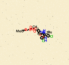 COCCOCCOC(=O)OC(C)OC(=O)c1ccc(NC(=O)[C@@H]2N[C@@H](CC(C)(C)C)[C@@]3(C(=O)Nc4cc(Cl)ccc43)[C@H]2c2cccc(Cl)c2F)c(OC)c1